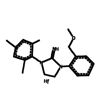 COCc1ccccc1N1CCN(c2c(C)cc(C)cc2C)C1=N.[Hf]